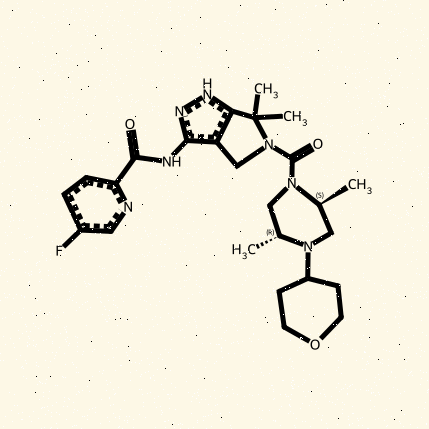 C[C@@H]1CN(C(=O)N2Cc3c(NC(=O)c4ccc(F)cn4)n[nH]c3C2(C)C)[C@@H](C)CN1C1CCOCC1